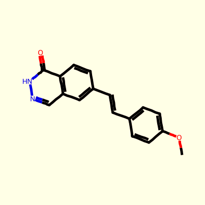 COc1ccc(C=Cc2ccc3c(=O)[nH]ncc3c2)cc1